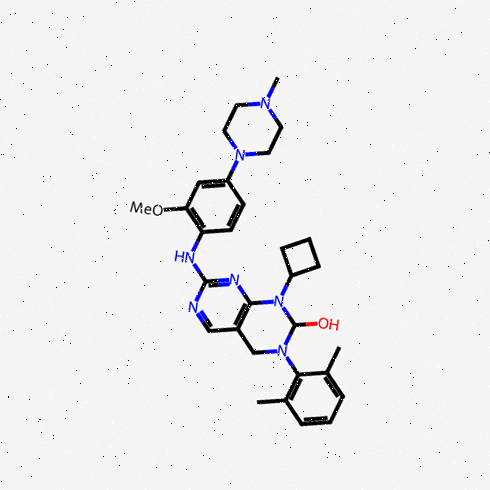 COc1cc(N2CCN(C)CC2)ccc1Nc1ncc2c(n1)N(C1CCC1)C(O)N(c1c(C)cccc1C)C2